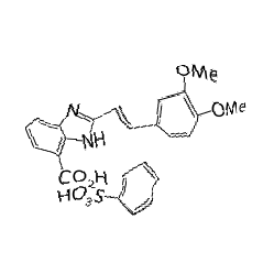 COc1ccc(C=Cc2nc3cccc(C(=O)O)c3[nH]2)cc1OC.O=S(=O)(O)c1ccccc1